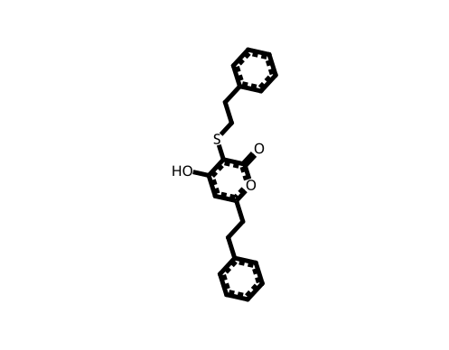 O=c1oc(CCc2ccccc2)cc(O)c1SCCc1ccccc1